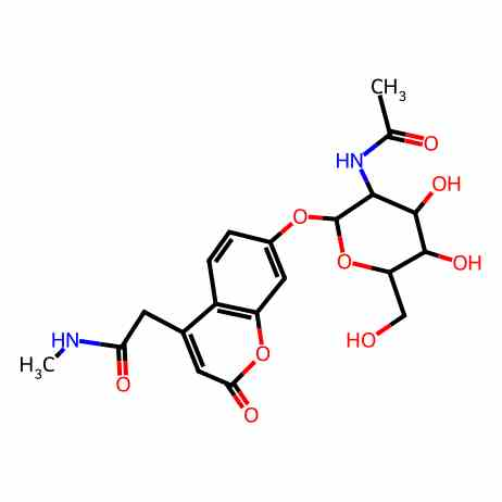 CNC(=O)Cc1cc(=O)oc2cc(OC3OC(CO)C(O)C(O)C3NC(C)=O)ccc12